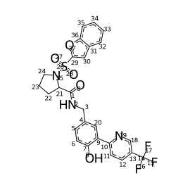 O=C(NCc1ccc(O)c(-c2ccc(C(F)(F)F)cn2)c1)C1CCCN1S(=O)(=O)c1cc2ccccc2o1